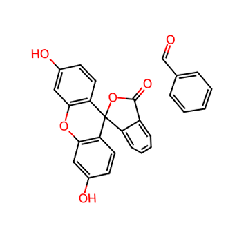 O=C1OC2(c3ccc(O)cc3Oc3cc(O)ccc32)c2ccccc21.O=Cc1ccccc1